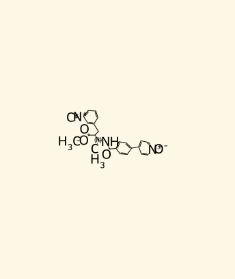 [C-]#[N+]c1cccc(CC(C(=O)OC)[C@@H](C)NC(=O)c2ccc(-c3cc[n+]([O-])cc3)cc2)c1